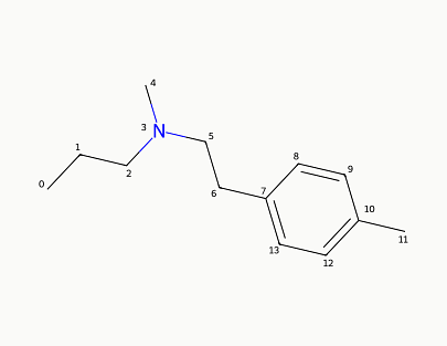 CCCN(C)CCc1ccc(C)cc1